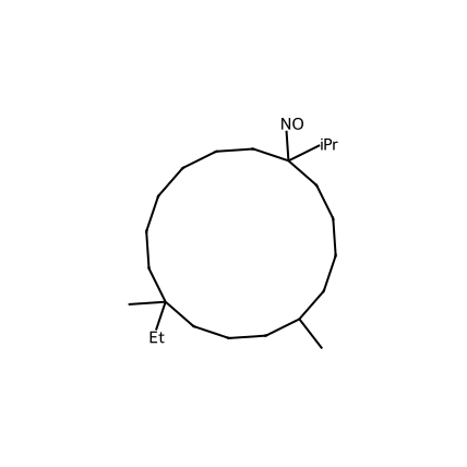 CCC1(C)CCCCCCC(N=O)(C(C)C)CCCCC(C)CCC1